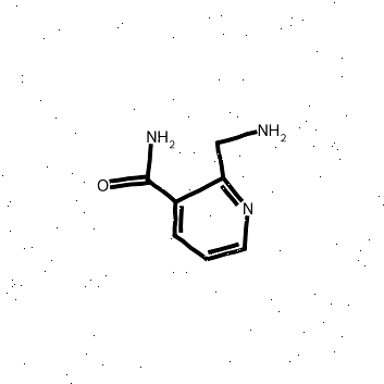 NCc1ncccc1C(N)=O